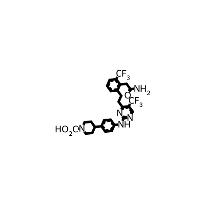 NC(=O)Cc1c(CCc2nc(Nc3ccc(C4CCN(C(=O)O)CC4)cc3)ncc2C(F)(F)F)cccc1C(F)(F)F